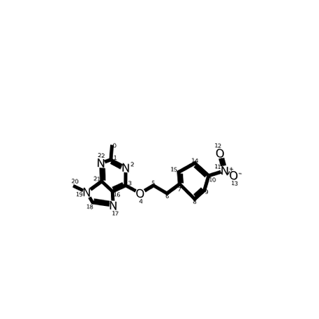 Cc1nc(OCCc2ccc([N+](=O)[O-])cc2)c2ncn(C)c2n1